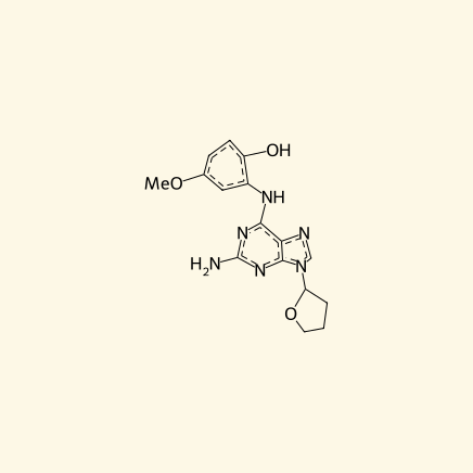 COc1ccc(O)c(Nc2nc(N)nc3c2ncn3C2CCCO2)c1